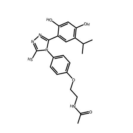 CC(=O)NCCOc1ccc(-n2c(S)nnc2-c2cc(C(C)C)c(O)cc2O)cc1